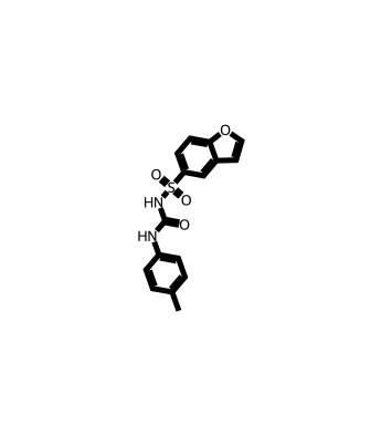 Cc1ccc(NC(=O)NS(=O)(=O)c2ccc3occc3c2)cc1